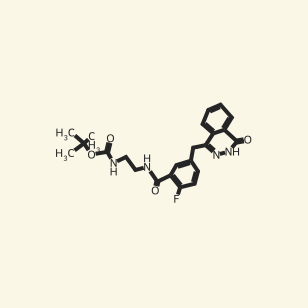 CC(C)(C)OC(=O)NCCNC(=O)c1cc(Cc2n[nH]c(=O)c3ccccc23)ccc1F